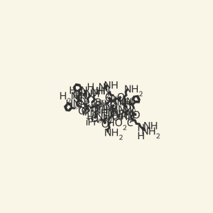 CC[C@H](C)[C@H](NC(=O)[C@H](CCCCN)NC(=O)[C@H](CCCNC(=N)N)NC(=O)[C@@H](NC(=O)[C@H](CC(C)C)NC(=O)[C@H](CCCCN)NC(=O)[C@H](CC(C)C)NC(=O)[C@@H](NC(=O)[C@H](CCCCN)NC(=O)[C@H](CCCNC(=N)N)NC(=O)[C@H](Cc1ccccc1)NC(=O)[C@@H](N)Cc1ccccc1)C(C)C)[C@@H](C)CC)C(=O)N[C@@H](Cc1c[nH]c2ccccc12)C(=O)N[C@@H](CCCNC(=N)N)C(=O)O